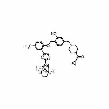 Cc1ccc(OCc2ccc(CN3CCN(C(=O)C4CC4)CC3)cc2C#N)c(-c2csc(N3C[C@H]4CC[C@@H](C3)[C@H]4C(=O)O)n2)c1